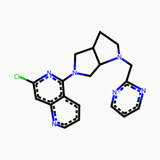 Clc1cc2ncccc2c(N2CC3CCN(Cc4ncccn4)C3C2)n1